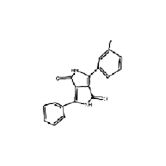 Cc1cccc(C2=C3C(=O)NC(c4ccccc4)=C3C(=O)N2)c1